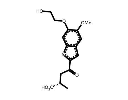 COc1cc2cc(C(=O)C[C@H](C)C(=O)O)sc2cc1OCCO